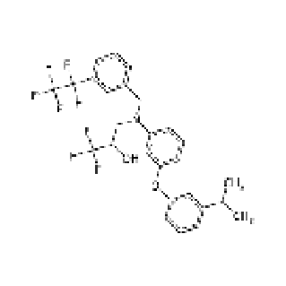 CC(C)c1cccc(Oc2cccc(N(Cc3cccc(C(F)(F)C(F)(F)F)c3)CC(O)C(F)(F)F)c2)c1